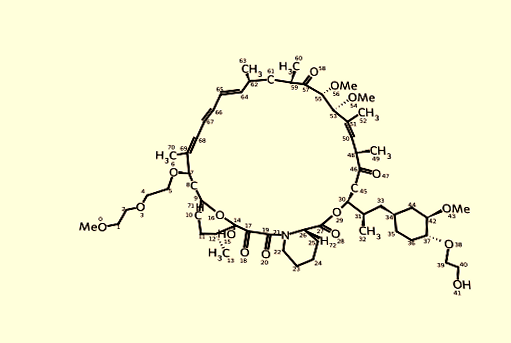 COCCOCCO[C@@H]1C[C@@H]2CC[C@@H](C)[C@@](O)(O2)C(=O)C(=O)N2CCCC[C@H]2C(=O)O[C@H]([C@H](C)C[C@@H]2CC[C@@H](OCCO)[C@H](OC)C2)CC(=O)[C@H](C)/C=C(\C)[C@@H](OC)[C@@H](OC)C(=O)[C@H](C)C[C@H](C)/C=C/C=C/C=C/1C